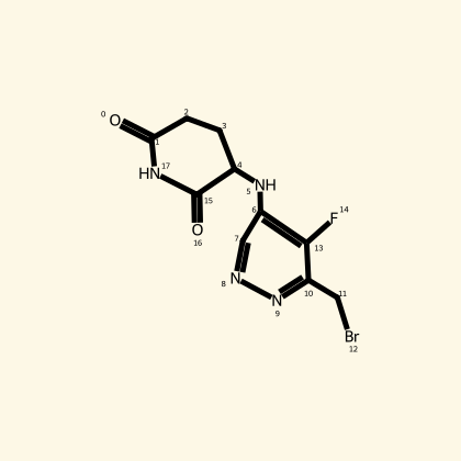 O=C1CCC(Nc2cnnc(CBr)c2F)C(=O)N1